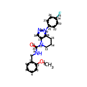 COc1ccccc1CNC(=O)N1CCCc2c1cnn2-c1ccc(F)cc1